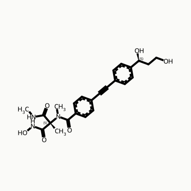 CNC(=O)[C@@](C)(C(=O)NO)N(C)C(=O)c1ccc(C#Cc2ccc([C@@H](O)CCO)cc2)cc1